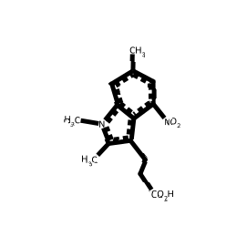 Cc1cc([N+](=O)[O-])c2c(CCC(=O)O)c(C)n(C)c2c1